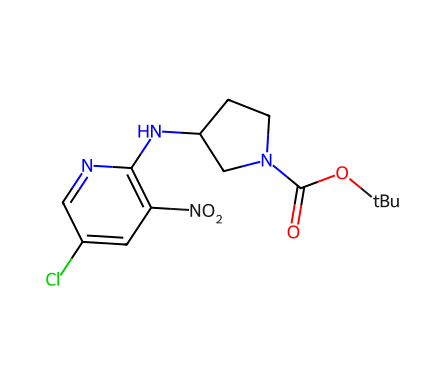 CC(C)(C)OC(=O)N1CCC(Nc2ncc(Cl)cc2[N+](=O)[O-])C1